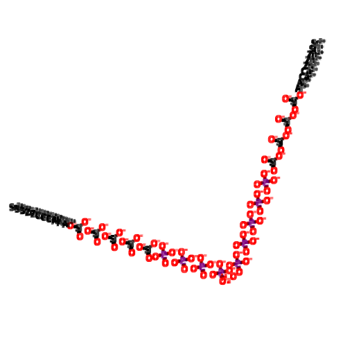 O.O=P([O-])([O-])[O-].O=P([O-])([O-])[O-].O=P([O-])([O-])[O-].O=P([O-])([O-])[O-].O=P([O-])([O-])[O-].O=P([O-])([O-])[O-].O=P([O-])([O-])[O-].O=P([O-])([O-])[O-].O=P([O-])([O-])[O-].O=[Si]([O-])[O-].O=[Si]([O-])[O-].O=[Si]([O-])[O-].O=[Si]([O-])[O-].O=[Si]([O-])[O-].O=[Si]([O-])[O-].O=[Si]([O-])[O-].O=[Si]([O-])[O-].O=[Si]([O-])[O-].[Al+3].[Al+3].[Al+3].[Al+3].[Al+3].[Ca+2].[Ca+2].[Ca+2].[Ca+2].[Ca+2].[Sr+2].[Sr+2].[Sr+2].[Sr+2].[Sr+2].[Zn+2].[Zn+2].[Zn+2].[Zn+2].[Zn+2]